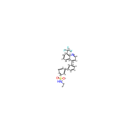 CCNS(=O)(=O)c1cccc(-c2cccc(-c3ccnc4c(C(F)(F)F)cccc34)c2)c1